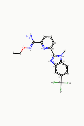 CCON=C(N)c1cccc(-c2nc3cc(C(F)(F)F)ccc3n2C)n1